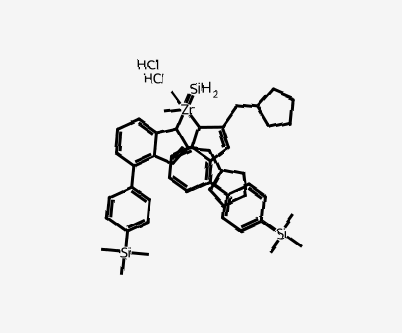 C[Si](C)(C)c1ccc(-c2cccc3c2C=C(CC2CCCC2)[CH]3[Zr]([CH3])([CH3])(=[SiH2])[CH]2C(CC3CCCC3)=Cc3c(-c4ccc([Si](C)(C)C)cc4)cccc32)cc1.Cl.Cl